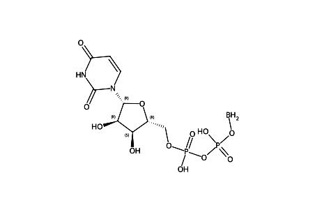 BOP(=O)(O)OP(=O)(O)OC[C@H]1O[C@@H](n2ccc(=O)[nH]c2=O)[C@H](O)[C@@H]1O